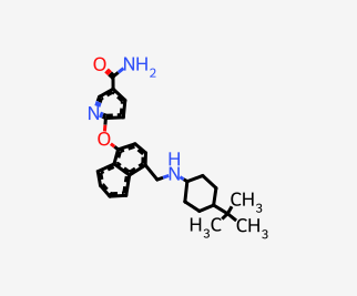 CC(C)(C)C1CCC(NCc2ccc(Oc3ccc(C(N)=O)cn3)c3ccccc23)CC1